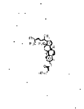 CCCCCCCCCCCC(=O)O[C@H]1CC[C@@]2(C)C(=CC[C@H]3[C@@H]4CC[C@H]([C@H](C)CC[C@@H](C)C(C)C)[C@@]4(C)CC[C@@H]32)C1